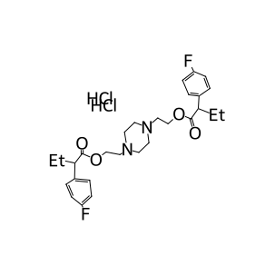 CCC(C(=O)OCCN1CCN(CCOC(=O)C(CC)c2ccc(F)cc2)CC1)c1ccc(F)cc1.Cl.Cl